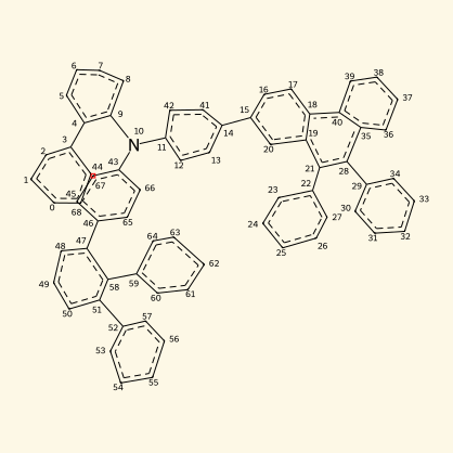 c1ccc(-c2ccccc2N(c2ccc(-c3ccc4c(c3)c(-c3ccccc3)c(-c3ccccc3)c3ccccc34)cc2)c2ccc(-c3cccc(-c4ccccc4)c3-c3ccccc3)cc2)cc1